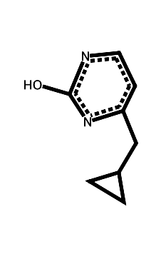 Oc1nccc(CC2CC2)n1